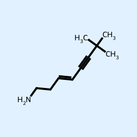 CC(C)(C)C#CC=CCCN